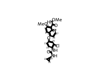 CONC(=O)c1c(OC)ccc2c(Oc3ccc(NC(=O)NC4CC4)c(Cl)c3)ccnc12